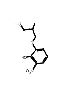 CC(CO)COc1cccc([N+](=O)[O-])c1C#N